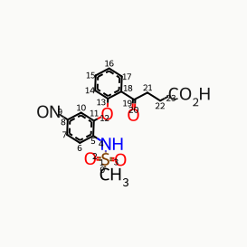 CS(=O)(=O)Nc1ccc(N=O)cc1Oc1ccccc1C(=O)CCC(=O)O